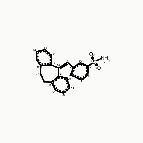 NS(=O)(=O)c1cccc(C=C2c3ccccc3CCc3ccccc32)c1